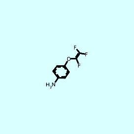 Nc1ccc(OC(F)=C(F)F)cc1